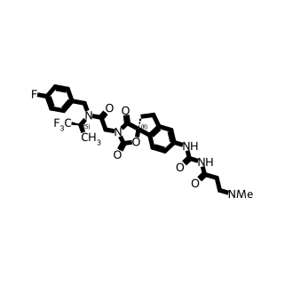 CNCCC(=O)NC(=O)Nc1ccc2c(c1)CC[C@@]21OC(=O)N(CC(=O)N(Cc2ccc(F)cc2)[C@@H](C)C(F)(F)F)C1=O